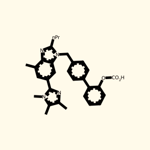 CCCc1nc2c(C)cc(-c3nc(C)c(C)n3C)cc2n1Cc1ccc(-c2ccccc2OC(=O)O)cc1